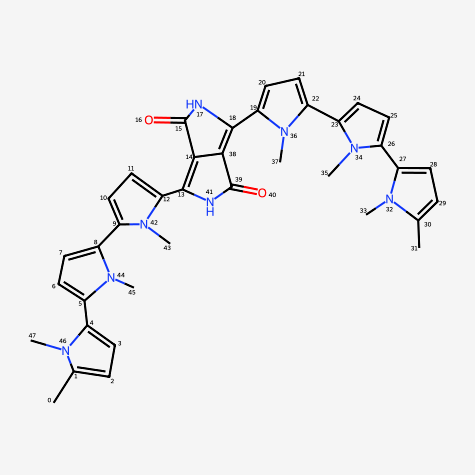 Cc1ccc(-c2ccc(-c3ccc(C4=C5C(=O)NC(c6ccc(-c7ccc(-c8ccc(C)n8C)n7C)n6C)=C5C(=O)N4)n3C)n2C)n1C